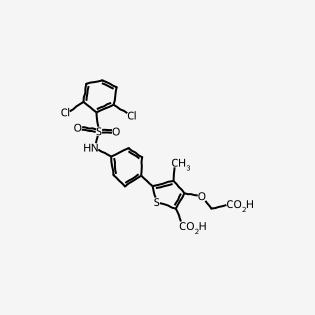 Cc1c(-c2ccc(NS(=O)(=O)c3c(Cl)cccc3Cl)cc2)sc(C(=O)O)c1OCC(=O)O